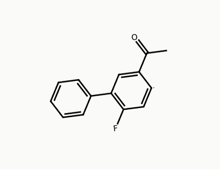 CC(=O)c1[c]cc(F)c(-c2ccccc2)c1